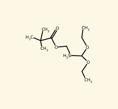 CCOC(OCC)[SiH2]COC(=O)C(C)(C)C